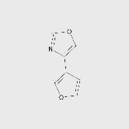 [c]1nc(-c2ccoc2)co1